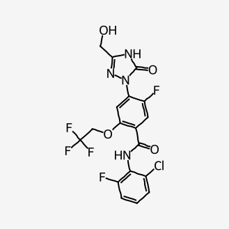 O=C(Nc1c(F)cccc1Cl)c1cc(F)c(-n2nc(CO)[nH]c2=O)cc1OCC(F)(F)F